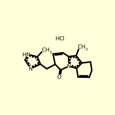 Cc1[nH]cnc1CC1C=Cc2c(C)c3c(n2C1=O)C=CCC3.Cl